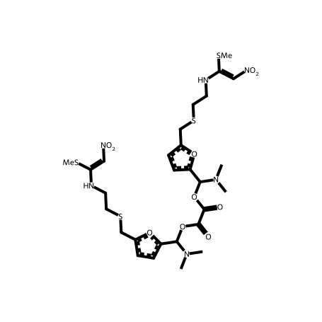 CSC(=C[N+](=O)[O-])NCCSCc1ccc(C(OC(=O)C(=O)OC(c2ccc(CSCCNC(=C[N+](=O)[O-])SC)o2)N(C)C)N(C)C)o1